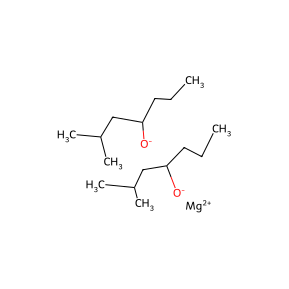 CCCC([O-])CC(C)C.CCCC([O-])CC(C)C.[Mg+2]